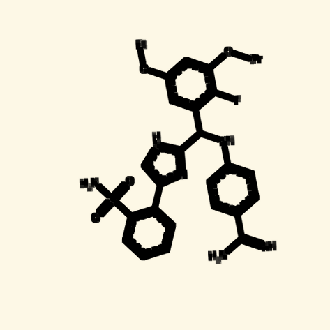 CCOc1cc(OC(C)C)c(F)c(C(Nc2ccc(C(=N)N)cc2)c2nc(-c3ccccc3S(N)(=O)=O)c[nH]2)c1